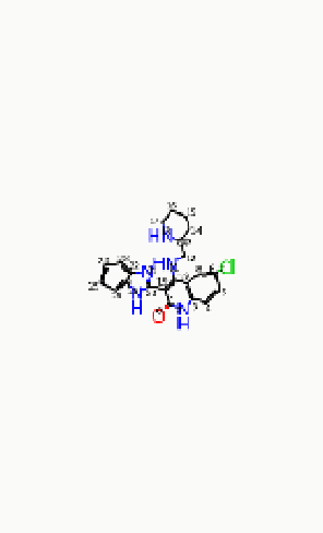 O=c1[nH]c2ccc(Cl)cc2c(NC[C@@H]2CCCCN2)c1-c1nc2ccccc2[nH]1